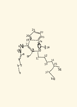 CCC/C=C/N=N\C(=C(/C)CCCCCC(C)CC)c1ccccc1OI